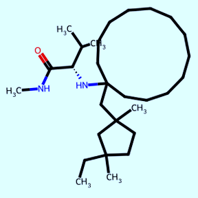 CCC1(C)CCC(C)(CC2(N[C@H](C(=O)NC)C(C)C)CCCCCCCCCCCC2)C1